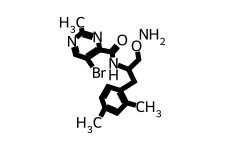 Cc1ccc(CC(CON)NC(=O)c2nc(C)ncc2Br)c(C)c1